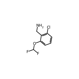 NCc1c(Cl)cccc1OC(F)F